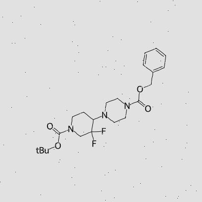 CC(C)(C)OC(=O)N1CCC(N2CCN(C(=O)OCc3ccccc3)CC2)C(F)(F)C1